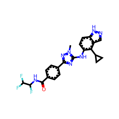 Cn1nc(-c2ccc(C(=O)NC(F)C(F)F)cc2)nc1Nc1ccc2[nH]ncc2c1C1CC1